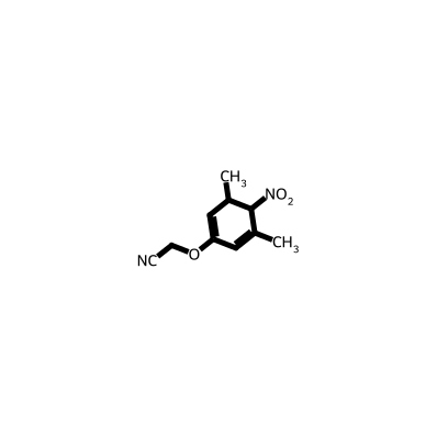 CC1=CC(OCC#N)=CC(C)C1[N+](=O)[O-]